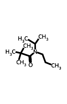 CCCN(C(=O)C(C)(C)C)C(C)C